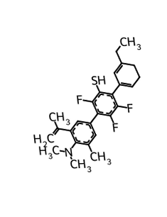 C=C(C)c1cc(-c2c(F)c(F)c(C3=CCCC(CC)=C3)c(S)c2F)cc(C)c1N(C)C